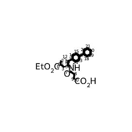 CCOC(=O)[C@H](C)C[C@H](NC(=O)CCC(=O)O)[C@H](C)c1ccc(-c2ccccc2)cc1